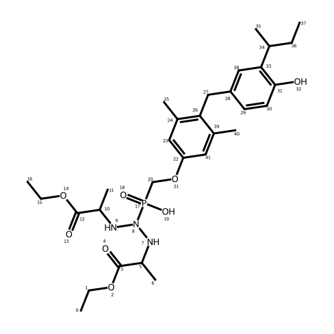 CCOC(=O)C(C)NN(NC(C)C(=O)OCC)P(=O)(O)COc1cc(C)c(Cc2ccc(O)c(C(C)CC)c2)c(C)c1